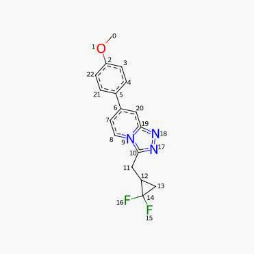 COc1ccc(-c2ccn3c(CC4CC4(F)F)nnc3c2)cc1